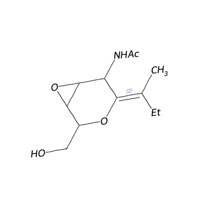 CC/C(C)=C1\OC(CO)C2OC2C1NC(C)=O